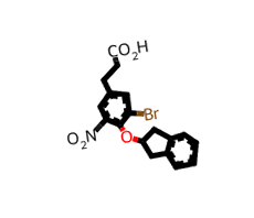 O=C(O)CCc1cc(Br)c(OC2Cc3ccccc3C2)c([N+](=O)[O-])c1